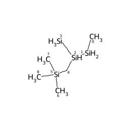 C[SiH2][SiH]([SiH3])C[Si](C)(C)C